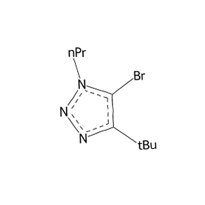 CCCn1nnc(C(C)(C)C)c1Br